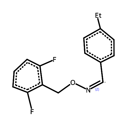 CCc1ccc(/[C]=N\OCc2c(F)cccc2F)cc1